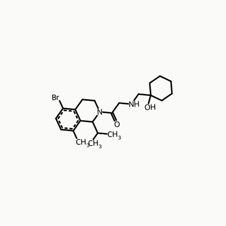 Cc1ccc(Br)c2c1C(C(C)C)N(C(=O)CNCC1(O)CCCCC1)CC2